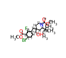 COC(=O)c1c(Br)ccc(CC2(CO)CCN(C(=O)OC)C(C(C)(C)C)C2)c1F